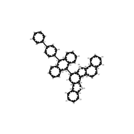 c1ccc(-c2ccc(-c3c4ccccc4c(-c4cc5c6ccccc6sc5c5c4oc4c6ccccc6ccc45)c4ccccc34)cc2)cc1